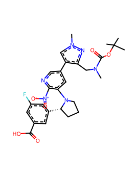 CN(Cc1nn(C)cc1-c1cnc([N+](=O)[O-])c(N2CCC[C@@H]2c2cc(F)cc(C(=O)O)c2)c1)C(=O)OC(C)(C)C